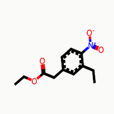 CCOC(=O)Cc1ccc([N+](=O)[O-])c(CC)c1